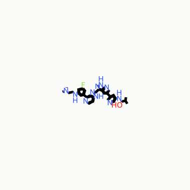 CC(C)C(O)Nc1cncc(-c2cnc3[nH]nc(-c4nc5c(-c6cc(F)cc(NCCN(C)C)c6)nccc5[nH]4)c3c2)c1